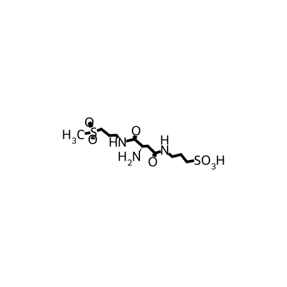 CS(=O)(=O)CCCNC(=O)[C@@H](N)CC(=O)NCCCS(=O)(=O)O